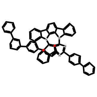 c1ccc(-c2ccc(-c3nc(-c4ccccc4)nc(-n4c5ccccc5c5ccc6c7ccccc7n(-c7ccccc7-c7ccc(-c8cccc(-c9ccccc9)c8)cc7)c6c54)n3)cc2)cc1